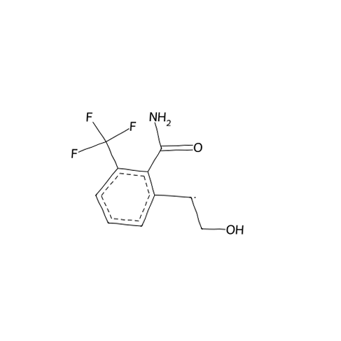 NC(=O)c1c([CH]CO)cccc1C(F)(F)F